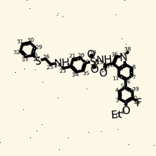 CCOc1ccc(-c2ccc3c(c2)c(C(=O)NS(=O)(=O)c2ccc(CNCCSc4ccccc4)cc2)cn3C)cc1F